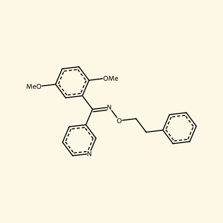 COc1ccc(OC)c(C(=NOCCc2ccccc2)c2cccnc2)c1